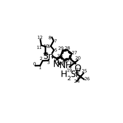 CCC[CH2][Sn]([CH2]CCC)([CH2]CCC)[c]1n[nH]c2c(C(C)(C)O[SiH2]C(C)(C)C)cccc12